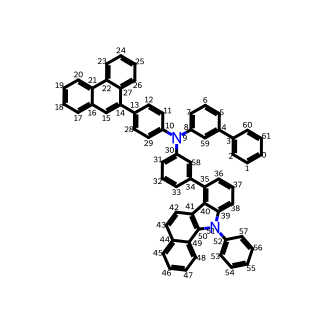 c1ccc(-c2cccc(N(c3ccc(-c4cc5ccccc5c5ccccc45)cc3)c3cccc(-c4cccc5c4c4ccc6ccccc6c4n5-c4ccccc4)c3)c2)cc1